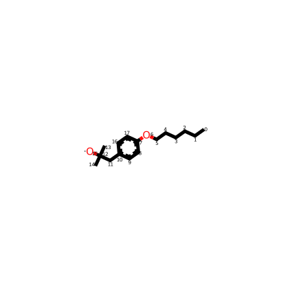 CCCCCCOc1ccc(CC(C)(C)[O])cc1